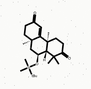 CC1(C)C(=O)CC[C@]2(C)C3=CC(=O)CC[C@]3(C)C[C@H](O[Si](C)(C)C(C)(C)C)[C@@H]12